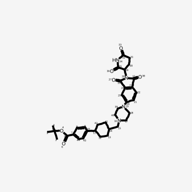 CC(C)(C)OC(=O)c1ccc(C2CCC(CN3CCN(c4ccc5c(c4)C(=O)N(C4CCC(=O)NC4=O)C5=O)CC3)CC2)cc1